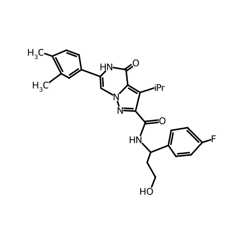 Cc1ccc(-c2cn3nc(C(=O)NC(CCO)c4ccc(F)cc4)c(C(C)C)c3c(=O)[nH]2)cc1C